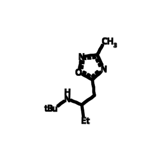 CCC(Cc1nc(C)no1)NC(C)(C)C